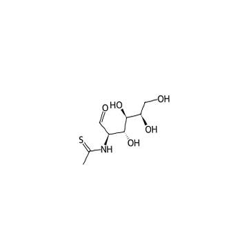 CC(=S)N[C@@H](C=O)[C@@H](O)[C@@H](O)[C@H](O)CO